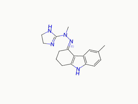 Cc1ccc2[nH]c3c(c2c1)/C(=N/N(C)C1=NCCN1)CCC3